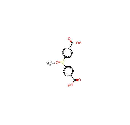 O=C(O)c1ccc([S+]([O-])c2ccc(C(=O)O)cc2)cc1.[BaH2]